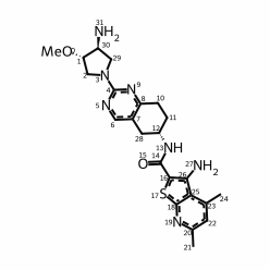 CO[C@H]1CN(c2ncc3c(n2)CC[C@H](NC(=O)c2sc4nc(C)cc(C)c4c2N)C3)C[C@@H]1N